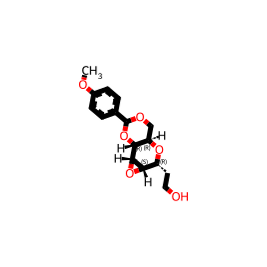 COc1ccc(C2OC[C@H]3O[C@H](CCO)[C@@H]4O[C@@H]4[C@@H]3O2)cc1